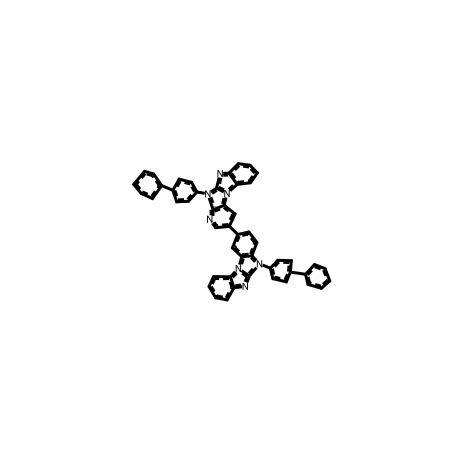 c1ccc(-c2ccc(-n3c4ccc(-c5cnc6c(c5)n5c7ccccc7nc5n6-c5ccc(-c6ccccc6)cc5)cc4n4c5ccccc5nc34)cc2)cc1